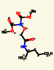 CC(C)(C)OC(=O)N(OCC(=O)N[C@@H](CCC(=O)O)C(=O)O)C(=O)OC(C)(C)C